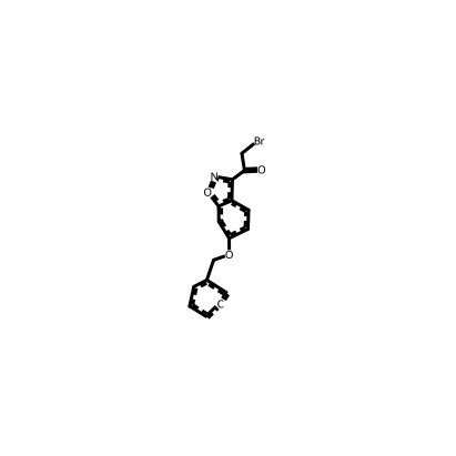 O=C(CBr)c1noc2cc(OCc3ccccc3)ccc12